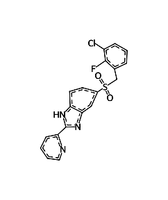 O=S(=O)(Cc1cccc(Cl)c1F)c1ccc2[nH]c(-c3ccccn3)nc2c1